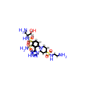 NCCNS(=O)(=O)C1CCN(c2ccc(S(=O)(=O)N[C@@H](CN)CO)c(S(N)(=O)=O)c2-c2nn[nH]n2)CC1